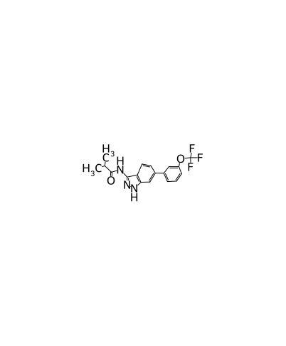 CC(C)C(=O)Nc1n[nH]c2cc(-c3cccc(OC(F)(F)F)c3)ccc12